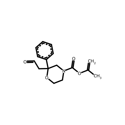 C=C(C)OC(=O)N1CCOC(CC=O)(c2ccccc2)C1